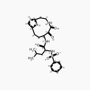 CC(C)CC(NS(=O)(=O)c1ccccc1)C(=O)NC1CCc2csc(n2)CCNC(=O)C1=O